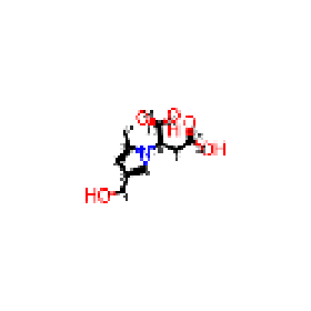 Cc1cc(CO)cn1C(CC(=O)O)C(=O)O